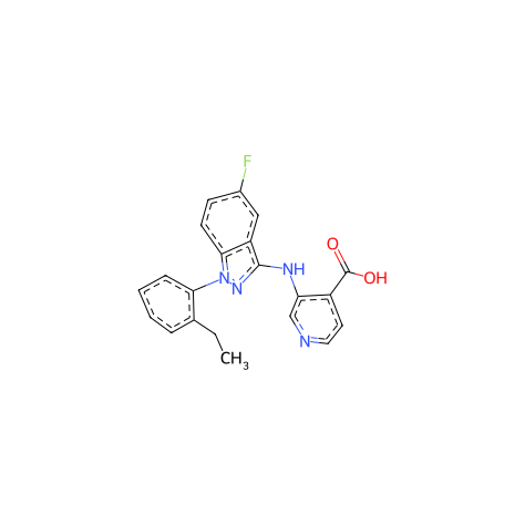 CCc1ccccc1-n1nc(Nc2cnccc2C(=O)O)c2cc(F)ccc21